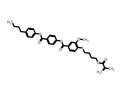 C=C(C)C(=O)OCCCCSc1ccc(C(=O)Oc2ccc(C(=O)Oc3ccc(CCCC)cc3)cc2)cc1OC